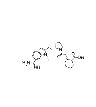 CCn1c(CC[C@@H]2CCCN2C(=O)CN2CCCCC2C(=O)O)cc2ccc(C(=N)N)cc21